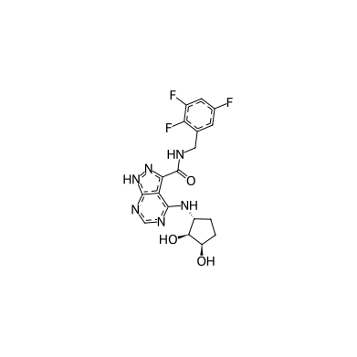 O=C(NCc1cc(F)cc(F)c1F)c1n[nH]c2ncnc(N[C@@H]3CC[C@@H](O)[C@H]3O)c12